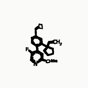 C=CC1(c2cc(CCl)ccc2-c2cc(OC)ncc2F)CCCC1